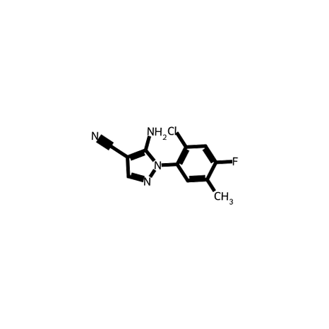 Cc1cc(-n2ncc(C#N)c2N)c(Cl)cc1F